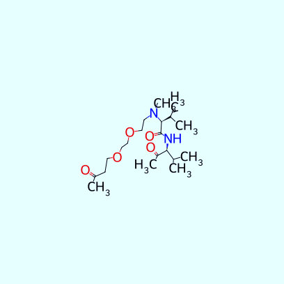 CC(=O)CCOCCOCCN(C)[C@H](C(=O)N[C@H](C(C)=O)C(C)C)C(C)C